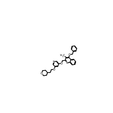 Cc1c(COc2cncc(OCCC3CCOCC3)c2)nc2ccccc2c1OCc1ccccc1